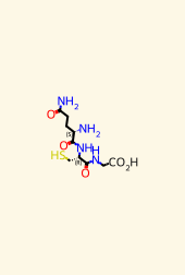 NC(=O)CC[C@H](N)C(=O)N[C@@H](CS)C(=O)NCC(=O)O